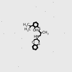 CC(C)c1cccc(SC[C@H](C)CNC2COc3ccccc3SC2)c1O